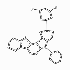 Brc1cc(Br)cc(-c2ccc3c(c2)c2c4sc5ccccc5c4ccc2n3-c2ccccc2)c1